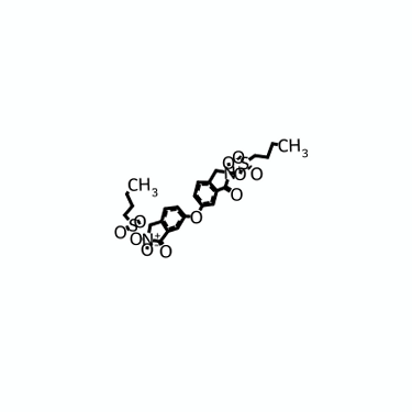 CCCCS(=O)(=O)O[N+]1([O-])Cc2ccc(Oc3ccc4c(c3)C(=O)[N+]([O-])(OS(=O)(=O)CCCC)C4)cc2C1=O